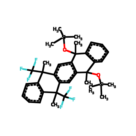 CC1(O[Si](C)(C)C)c2ccccc2C(C)(O[Si](C)(C)C)c2cc3c(cc21)C(C)(C(F)(F)F)c1ccccc1C3(C)C(F)(F)F